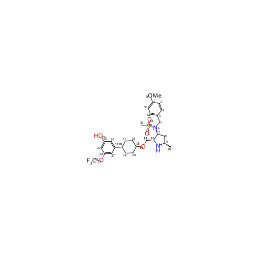 COc1ccc(CN([C@H]2C[C@@H](C)N[C@H]2COC2CCC(c3cc(O)cc(OC(F)(F)F)c3)CC2)S(C)(=O)=O)cc1